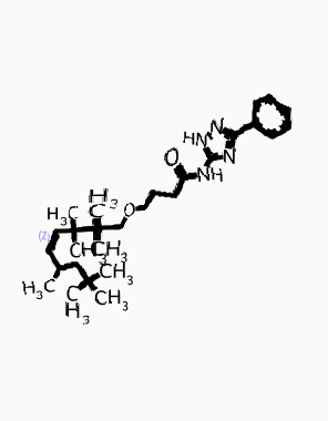 CC(/C=C\C(C)(C)C(C)(C)COCCCC(=O)Nc1nc(-c2ccccc2)n[nH]1)CC(C)(C)C